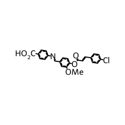 COc1cc(/C=N/c2ccc(C(=O)O)cc2)ccc1OC(=O)/C=C/c1ccc(Cl)cc1